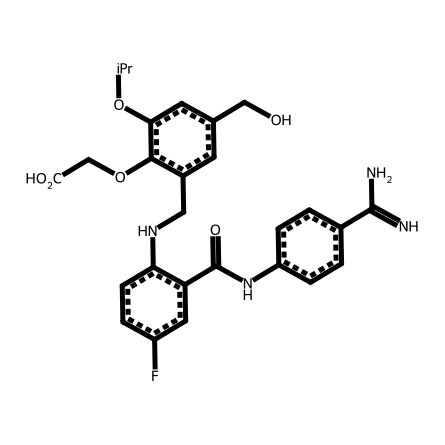 CC(C)Oc1cc(CO)cc(CNc2ccc(F)cc2C(=O)Nc2ccc(C(=N)N)cc2)c1OCC(=O)O